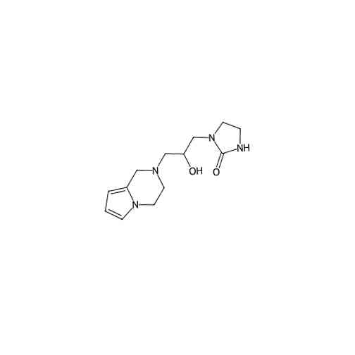 O=C1NCCN1CC(O)CN1CCn2cccc2C1